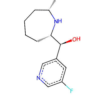 CCC[C@H]1CCCC[C@@H]([C@@H](O)c2cncc(F)c2)N1